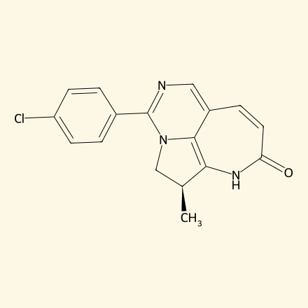 C[C@H]1CN2C(c3ccc(Cl)cc3)=NC=C3C=CC(=O)NC1=C32